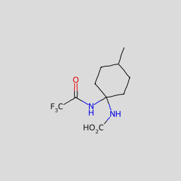 CC1CCC(NC(=O)O)(NC(=O)C(F)(F)F)CC1